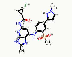 Cc1nc2c(Nc3ccc(-c4ccn(C)n4)cc3S(C)(=O)=O)cc(NC(=O)C3C[C@@H]3F)nc2[nH]1